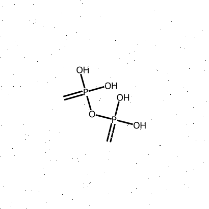 C=P(O)(O)OP(=C)(O)O